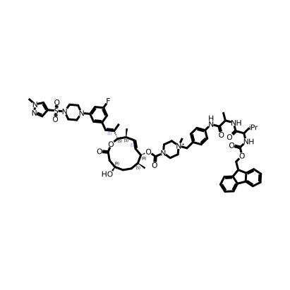 C/C(=C\c1cc(F)cc(N2CCN(S(=O)(=O)c3cnn(C)c3)CC2)c1)[C@H]1OC(=O)C[C@H](O)CC[C@H](C)[C@@H](OC(=O)N2CC[N+](C)(Cc3ccc(NC(=O)C(C)NC(=O)C(NC(=O)OCC4c5ccccc5-c5ccccc54)C(C)C)cc3)CC2)/C=C/[C@@H]1C